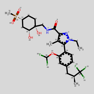 CCn1nc(C(=O)NC[C@]2(O)CC[C@@H](S(C)(=O)=O)C[C@H]2O)c(C)c1-c1ccc(C[C@H](C)C(F)(F)F)cc1OC(F)F